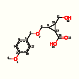 COc1ccc(COCC2C(CO)C2C(=O)O)cc1